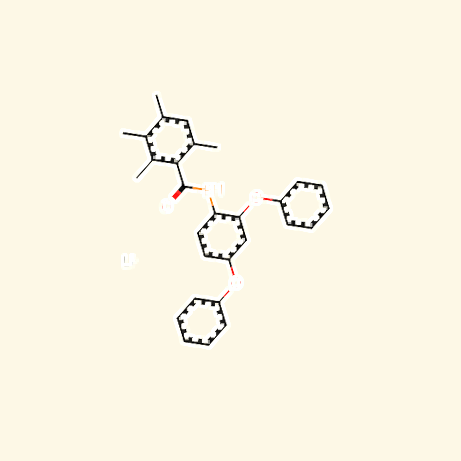 Cc1cc(C)c(C(=O)Pc2ccc(Oc3ccccc3)cc2Oc2ccccc2)c(C)c1C.[Li]